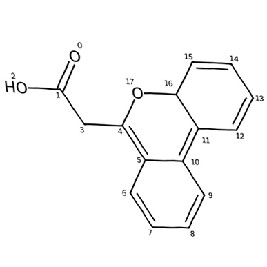 O=C(O)CC1=c2ccccc2=C2C=CC=CC2O1